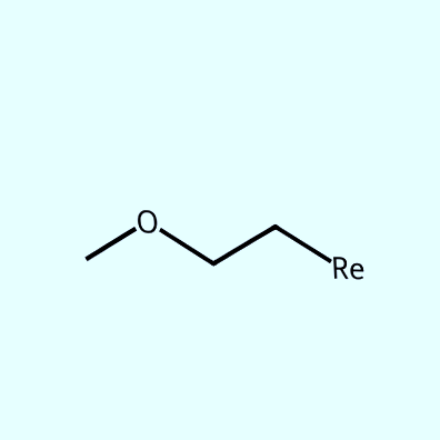 COC[CH2][Re]